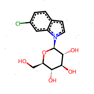 OC[C@H]1O[C@@H](n2ccc3ccc(Cl)cc32)[C@H](O)[C@@H](O)[C@@H]1O